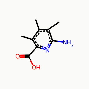 Cc1c(N)nc(C(=O)O)c(C)c1C